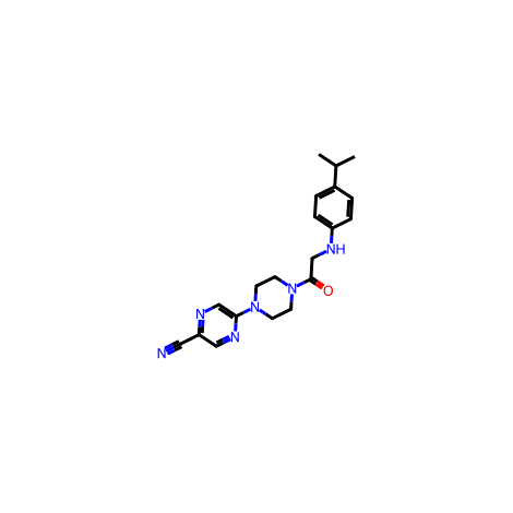 CC(C)c1ccc(NCC(=O)N2CCN(c3cnc(C#N)cn3)CC2)cc1